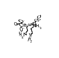 NCCN.NCCN.[Cl][Co+][Cl].[O-][Cl+3]([O-])([O-])[O-]